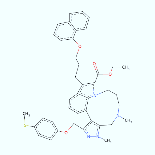 CCOC(=O)c1c(CCCOc2cccc3ccccc23)c2cccc3c2n1CCCN(C)Cc1c-3c(COc2ccc(SC)cc2)nn1C